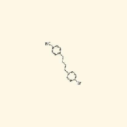 N#Cc1ccc(CCCCc2ccc(Br)cc2)cc1